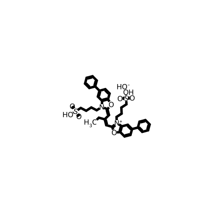 CCC(=Cc1oc2ccc(-c3ccccc3)cc2[n+]1CCCCS(=O)(=O)O)C=C1Oc2ccc(-c3ccccc3)cc2N1CCCCS(=O)(=O)O.[OH-]